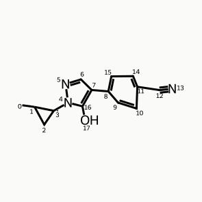 CC1C[C]1n1ncc(-c2ccc(C#N)cc2)c1O